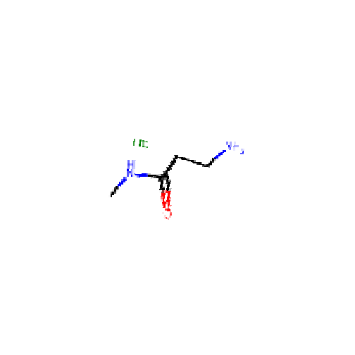 CNC(=O)CCN.Cl